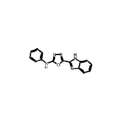 c1ccc(Nc2nnc(-c3nc4ccccc4[nH]3)o2)cc1